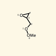 COOCC1CO1